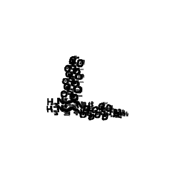 O=S(=O)([O-])[O-].O=S(=O)([O-])[O-].O=S(=O)([O-])[O-].O=S(=O)([O-])[O-].O=S(=O)([O-])[O-].[Fe+3].[Fe+3].[NH3+]CC[NH3+].[NH3+]CC[NH3+]